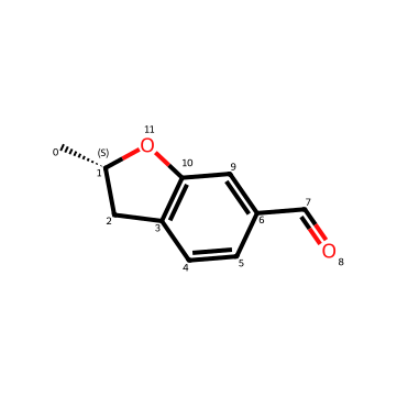 C[C@H]1Cc2ccc(C=O)cc2O1